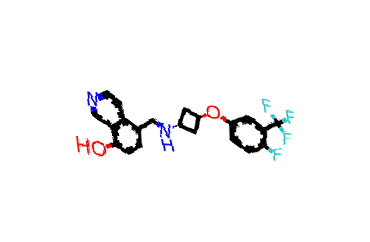 Oc1ccc(CN[C@H]2C[C@H](Oc3ccc(F)c(C(F)(F)F)c3)C2)c2ccncc12